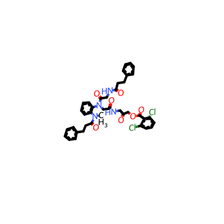 CN(C(=O)CCc1ccccc1)c1ccccc1N(CC(=O)NCC(=O)COC(=O)c1c(Cl)cccc1Cl)C(=O)CNC(=O)CCc1ccccc1